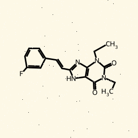 CCn1c(=O)c2[nH]c(C=Cc3cccc(F)c3)nc2n(CC)c1=O